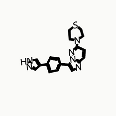 c1cc(-c2cnc3ccc(N4CCSCC4)nn23)ccc1-c1cn[nH]c1